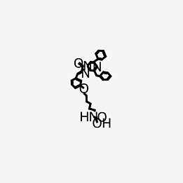 O=C(O)NCCCCCCOc1cccc(/C=C2\N=C3C(Cc4ccccc4)=NC(c4ccccc4)=CN3C2=O)c1